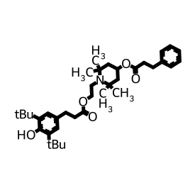 CC(C)(C)c1cc(CCC(=O)OCCN2C(C)(C)CC(OC(=O)CCc3ccccc3)CC2(C)C)cc(C(C)(C)C)c1O